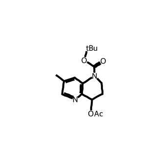 CC(=O)OC1CCN(C(=O)OC(C)(C)C)c2cc(C)cnc21